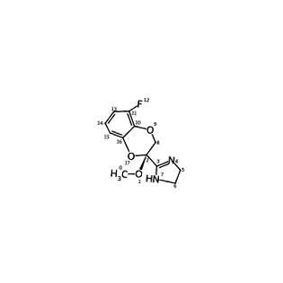 CO[C@]1(C2=NCCN2)COc2c(F)cccc2O1